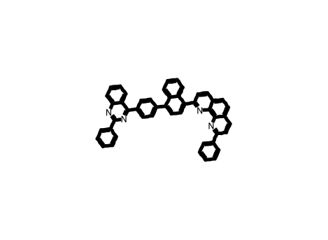 c1ccc(-c2ccc3ccc4ccc(-c5ccc(-c6ccc(-c7nc(-c8ccccc8)nc8ccccc78)cc6)c6ccccc56)nc4c3n2)cc1